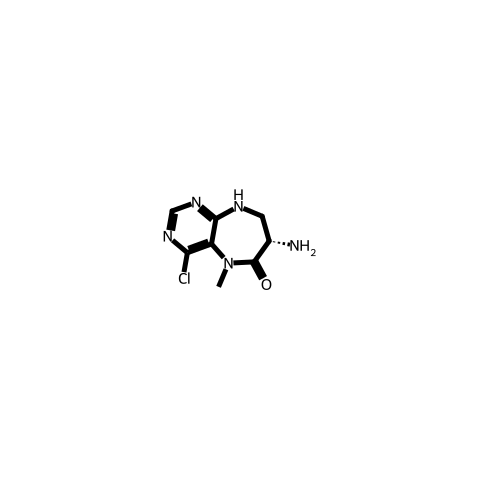 CN1C(=O)[C@@H](N)CNc2ncnc(Cl)c21